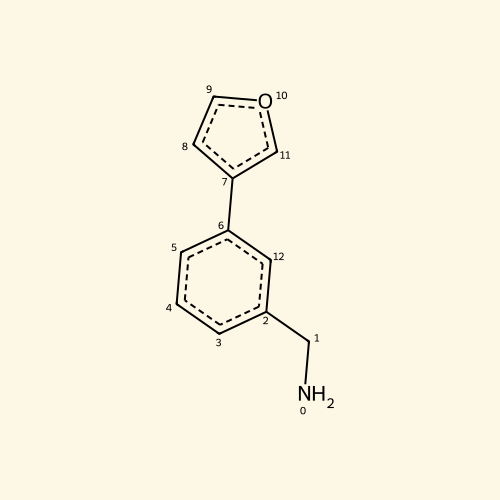 NCc1cccc(-c2ccoc2)c1